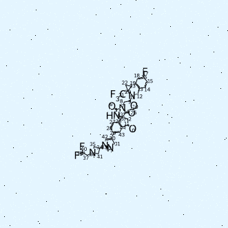 O=C1C[C@]2(NC(=O)N(CC(=O)N(Cc3ccc(F)cc3)C3(C(F)(F)F)CC3)C2=O)c2ccc(-c3cnn(C4CN(CC(F)F)C4)c3)cc21